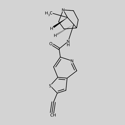 C#Cc1cc2cnc(C(=O)N[C@@H]3C4CCN(CC4)[C@H]3C)cc2s1